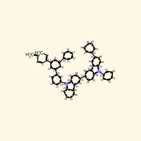 C=C/C=C\C(=C/C)c1cc(-c2ccccc2)cc(-c2cccc(-n3c4ccccc4c4cc(-c5ccc6c(c5)c5cc(-c7ccccc7)ccc5n6-c5ccccc5)ccc43)c2)c1